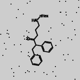 CCCCC[CH2][AlH][CH2]CCC(=O)C(Cc1ccccc1)c1ccccc1